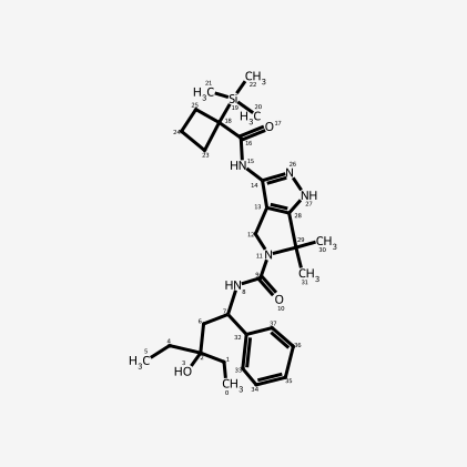 CCC(O)(CC)CC(NC(=O)N1Cc2c(NC(=O)C3([Si](C)(C)C)CCC3)n[nH]c2C1(C)C)c1ccccc1